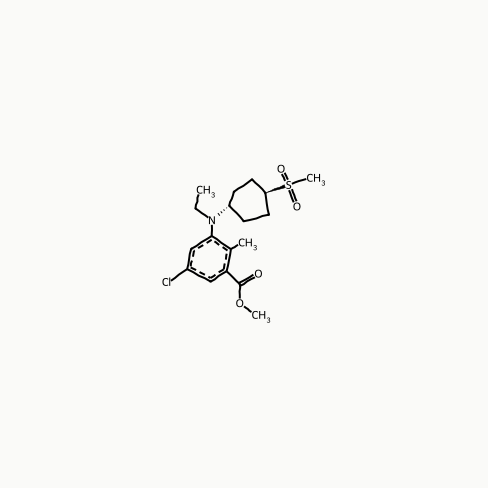 CCN(c1cc(Cl)cc(C(=O)OC)c1C)[C@H]1CC[C@H](S(C)(=O)=O)CC1